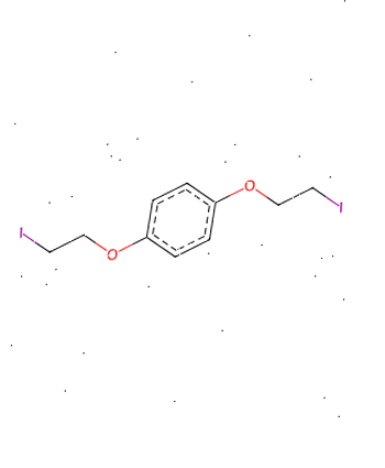 ICCOc1ccc(OCCI)cc1